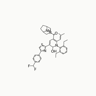 CCc1cccc(CC)c1N1C(C=C(C)C)=C(C(=O)N2CC3CCC(C2)N3)C=C(c2nc(-c3ccc(C(F)F)cc3)cs2)C1O